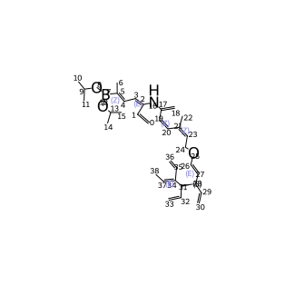 C=C/C(=C\C=C(/C)B(OC(C)C)OC(C)C)NC(=C)/C=C\C(C)=C/CO/C=C/[C@@H](C=C)C(C=C)/C(C=C)=C/C